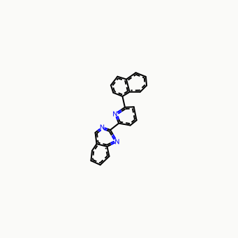 c1cc(-c2ncc3ccccc3n2)nc(-c2cccc3ccccc23)c1